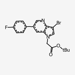 CC(C)(C)OC(=O)Cn1cc(Br)c2ncc(-c3ccc(F)cc3)cc21